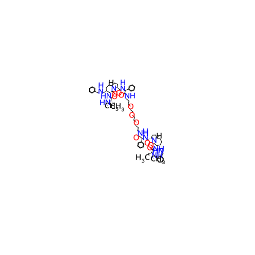 CC[C@H](NC)C(=O)N[C@@H]1C(=O)N2[C@@H](CC[C@@H]1CNCc1ccccc1)CC[C@H]2C(=O)N[C@H](C(=O)NCCCOCCOCCOCCCNC(=O)[C@@H](NC(=O)[C@@H]1CC[C@@H]2CC[C@H](CNCc3ccccc3)[C@H](NC(=O)[C@H](CC)NC)C(=O)N21)c1ccccc1)c1ccccc1